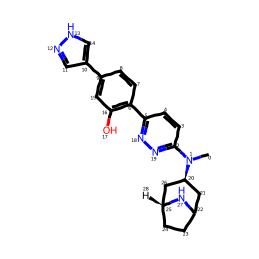 CN(c1ccc(-c2ccc(-c3cn[nH]c3)cc2O)nn1)[C@H]1CC2CC[C@H](C1)N2